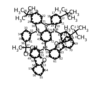 CC(C)(C)c1cccc(N2c3cc(C(C)(C)C)ccc3B3c4ccc(C(C)(C)C)cc4N(c4cccc(C(C)(C)C)c4)c4cc(N(c5cccc6c5oc5ccccc56)c5cccc6c5oc5ccccc56)cc2c43)c1